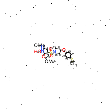 COCCC(CCOC)(C(=O)NO)S(=O)(=O)N1CCC(Oc2ccc(SC(F)(F)F)cc2)CC1